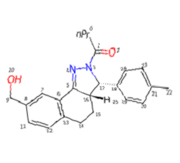 CCCC(=O)N1N=C2c3cc(CO)ccc3CC[C@H]2[C@H]1c1ccc(C)cc1